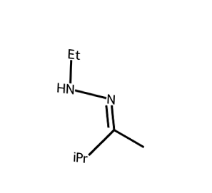 CCN/N=C(/C)C(C)C